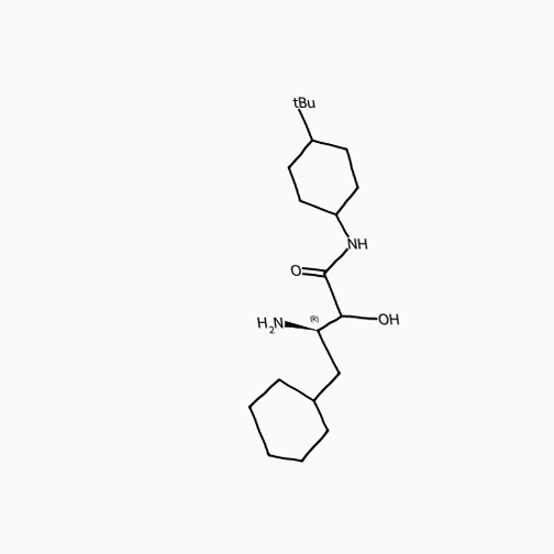 CC(C)(C)C1CCC(NC(=O)C(O)[C@H](N)CC2CCCCC2)CC1